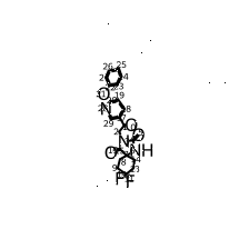 O=C(CN1C(=O)NC2(CCC(F)(F)CC2)C1=O)c1ccc(Oc2ccccc2)nc1